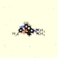 CCN(CC)c1ccc2c(c1)Cc1cc(C)c(Nc3ccc(C)cc3C)cc1C21OC(=O)c2ccccc21